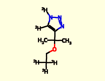 [2H]c1c(C(C)(C)OCC([2H])([2H])[2H])nnn1[2H]